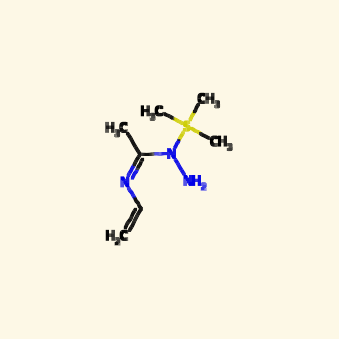 C=C/N=C(/C)N(N)S(C)(C)C